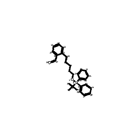 CC(C)(C)[Si](OCCCCCc1ccccc1C=O)(c1ccccc1)c1ccccc1